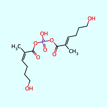 CC(=CCCCO)C(=O)OP(=O)(O)OC(=O)C(C)=CCCCO